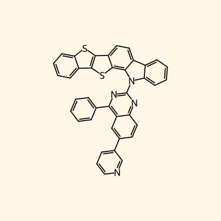 c1ccc(-c2nc(-n3c4ccccc4c4ccc5c6sc7ccccc7c6sc5c43)nc3ccc(-c4cccnc4)cc23)cc1